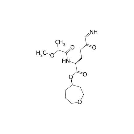 CO[C@H](C)C(=O)N[C@@H](CCC(=O)C=N)C(=O)O[C@@H]1CCCOCC1